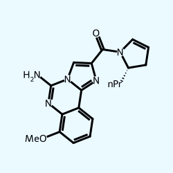 CCC[C@H]1CC=CN1C(=O)c1cn2c(N)nc3c(OC)cccc3c2n1